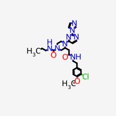 CCCNC(=O)N1CCN(c2ccnc(-n3ccnc3)n2)C(CC(=O)NCCc2ccc(OC)c(Cl)c2)C1